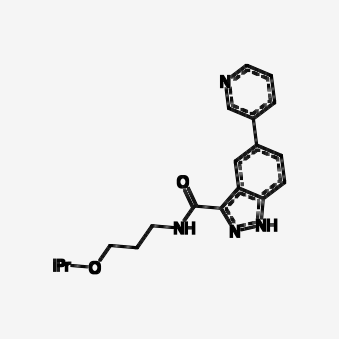 CC(C)OCCCNC(=O)c1n[nH]c2ccc(-c3cccnc3)cc12